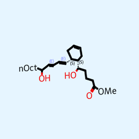 CCCCCCCCC(O)/C=C/C=C/[C@@H]1CC=CC[C@@H]1C(O)CCCC(=O)OC